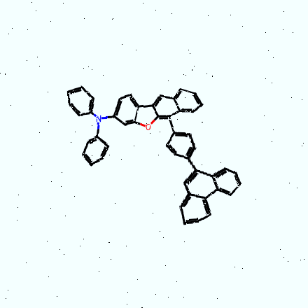 c1ccc(N(c2ccccc2)c2ccc3c(c2)oc2c(-c4ccc(-c5cc6ccccc6c6ccccc56)cc4)c4ccccc4cc23)cc1